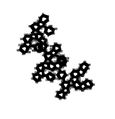 c1ccc(-n2c3ccccc3c3ccc4c(c5cc6oc7cc(-c8cc9c(c%10c%11c%12ccccc%12n(-c%12ccc(-c%13cc%14c%15ccccc%15oc%14c%14c%15cc%16oc%17ccccc%17c%16c%16c%17c%18oc%19ccccc%19c%18ccc%17n(c%13%14)c%15%16)cc%12)c%11cc%11c%12c%13c(ccc%12n9c%11%10)c9ccccc9n%13-c9ccccc9)c9c8c8ccccc8n9-c8ccccc8)ccc7c6c6c7c8c(ccc7n4c56)c4ccccc4n8-c4ccccc4)c32)cc1